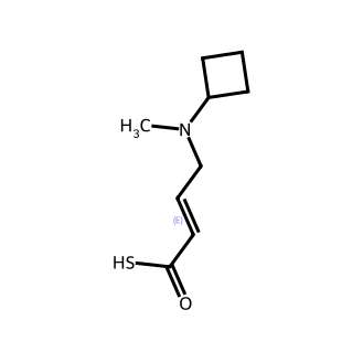 CN(C/C=C/C(=O)S)C1CCC1